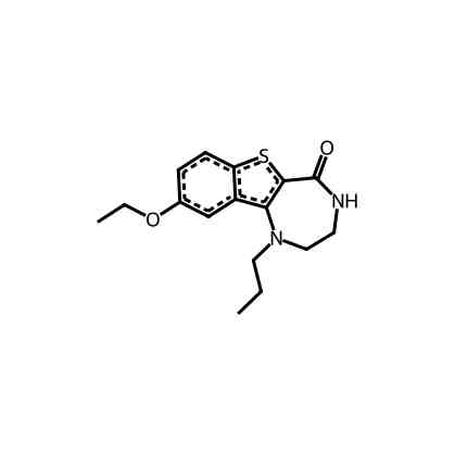 CCCN1CCNC(=O)c2sc3ccc(OCC)cc3c21